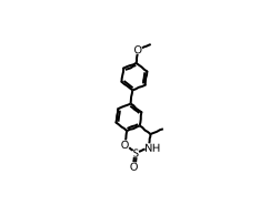 COc1ccc(-c2ccc3c(c2)C(C)NS(=O)O3)cc1